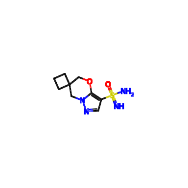 N=S(N)(=O)c1cnn2c1OCC1(CCC1)C2